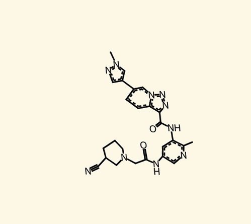 Cc1ncc(NC(=O)CN2CCCC(C#N)C2)cc1NC(=O)c1nnn2cc(-c3cnn(C)c3)ccc12